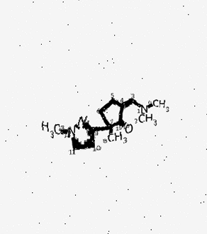 CN(C)C=C1CCC(C)(c2ccn(C)n2)C1=O